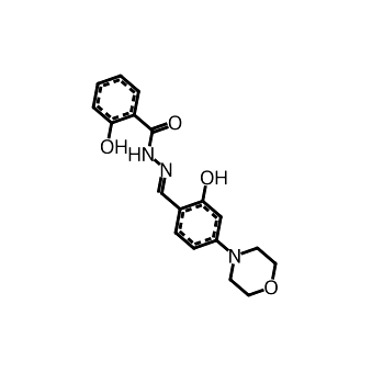 O=C(NN=Cc1ccc(N2CCOCC2)cc1O)c1ccccc1O